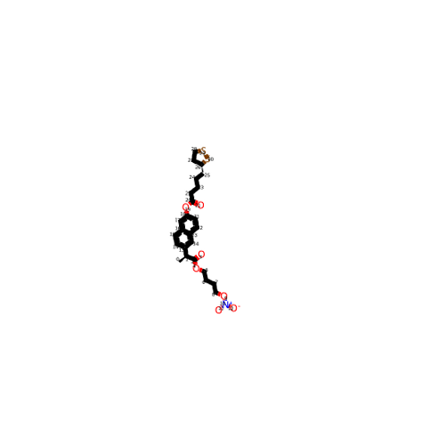 C[C@H](C(=O)OCCCCO[N+](=O)[O-])c1ccc2cc(OC(=O)CCCC[C@@H]3CCSS3)ccc2c1